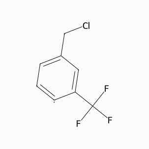 FC(F)(F)c1[c]ccc(CCl)c1